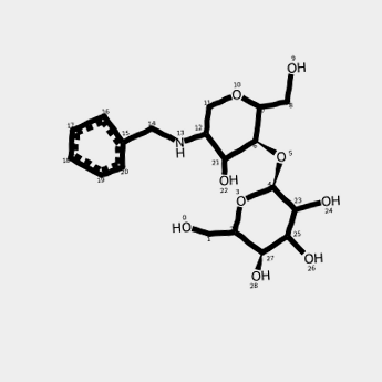 OCC1O[C@@H](O[C@@H]2C(CO)OCC(NCc3ccccc3)C2O)C(O)C(O)[C@H]1O